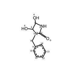 O=C1NC(O)C(O)N1Cc1ccccc1